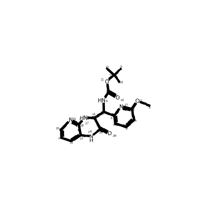 COc1cccc(C(NC(=O)OC(C)(C)C)C2Nc3ncccc3NC2=O)n1